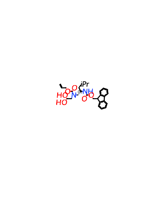 C=CCOC(=O)N(CC(O)O)C[C@H](CC(C)C)NC(=O)OCC1c2ccccc2-c2ccccc21